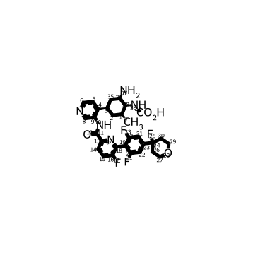 C[C@H]1C[C@@H](c2ccncc2NC(=O)c2ccc(F)c(-c3c(F)cc(C4(F)CCOCC4)cc3F)n2)C[C@@H](N)[C@H]1NC(=O)O